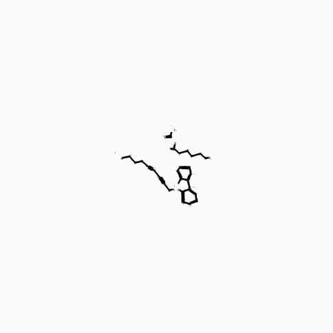 CCCCCCC(C)OC(N)=O.OCCCCC#CC#CCn1c2ccccc2c2ccccc21